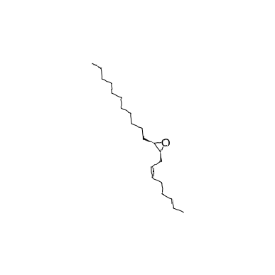 CCCCC/C=C\C[C@@H]1O[C@@H]1CCCCCCCCCCC